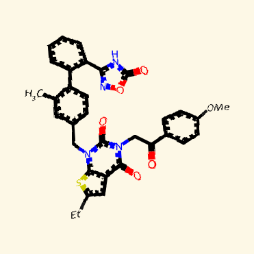 CCc1cc2c(=O)n(CC(=O)c3ccc(OC)cc3)c(=O)n(Cc3ccc(-c4ccccc4-c4noc(=O)[nH]4)c(C)c3)c2s1